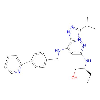 CC[C@@H](CO)Nc1cc(NCc2ccc(-c3ccccn3)cc2)c2nnc(C(C)C)n2n1